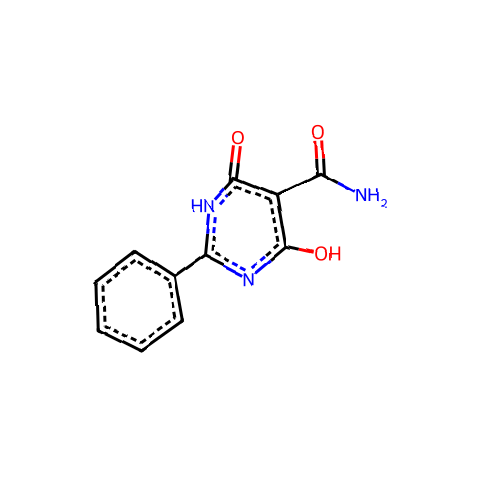 NC(=O)c1c(O)nc(-c2ccccc2)[nH]c1=O